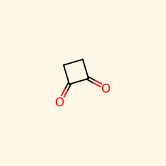 O=C1CCC1=O